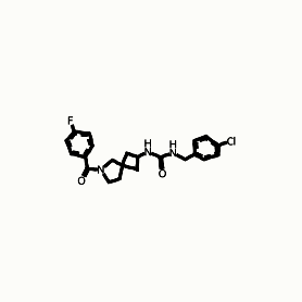 O=C(NCc1ccc(Cl)cc1)NC1CC2(CCN(C(=O)c3ccc(F)cc3)C2)C1